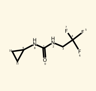 O=C(NCC(F)(F)F)NC1CC1